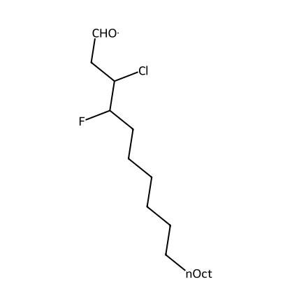 CCCCCCCCCCCCCCC(F)C(Cl)C[C]=O